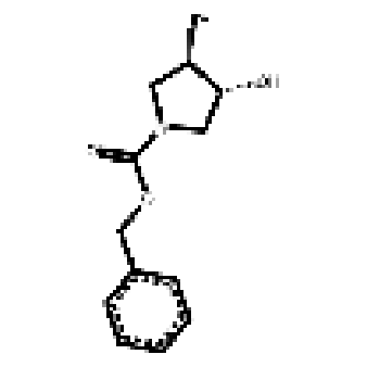 CC(C)[C@@H]1CN(C(=O)OCc2ccccc2)C[C@H]1O